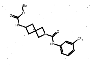 CC(C)(C)OC(=O)NC1CC2(C1)CN(C(=O)Nc1cccc(C(F)(F)F)c1)C2